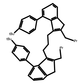 CC(C)CC1=C(CCCC2=C(CC(C)C)[CH]c3cccc(-c4ccc(C(C)(C)C)cc4)c32)c2c(cccc2-c2ccc(C(C)(C)C)cc2)[CH]1